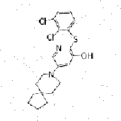 Oc1cc(N2CCC3(CCCC3)CC2)cnc1Sc1cccc(Cl)c1Cl